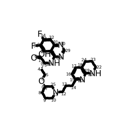 O=C(O)[C@@H](CCO[C@@H]1CCCN(CCCc2ccc3c(n2)NCCC3)C1)Nc1ncnc2cc(F)c(F)cc12